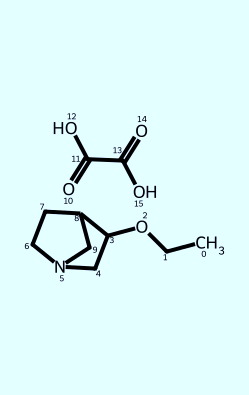 CCOC1CN2CCC1C2.O=C(O)C(=O)O